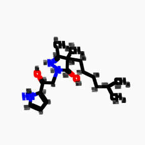 CC1=NN(CC(=O)c2ccc[nH]2)C(=O)C1(C)CCCCC(C)C